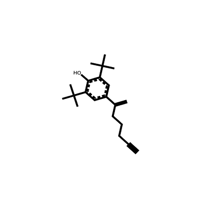 C#CCCCC(=C)c1cc(C(C)(C)C)c(O)c(C(C)(C)C)c1